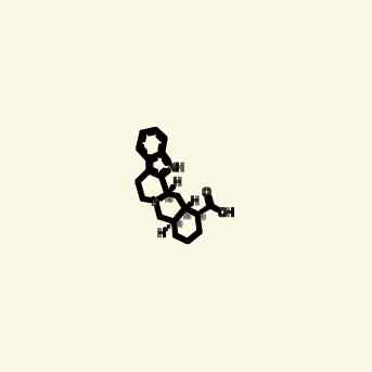 O=C(O)[C@H]1CCC[C@H]2CN3CCc4c([nH]c5ccccc45)[C@@H]3C[C@@H]21